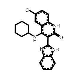 O=c1[nH]c2ccc(Cl)cc2c(NC2CCCCC2)c1-c1nc2ccccc2[nH]1